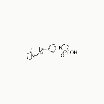 C[C@H]1CCCN1C[C@H]1C[C@@H]1c1ccc(N2CC[C@H](O)C2=O)cc1